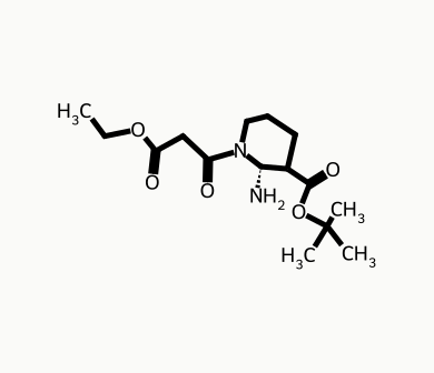 CCOC(=O)CC(=O)N1CCCC(C(=O)OC(C)(C)C)[C@@H]1N